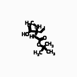 CN[C@](CI)(NC(=O)OC(C)(C)C)C(=O)O